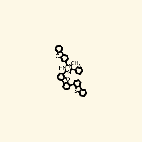 CN1C(c2ccccc2)=NC(c2cccc3c2oc2c(-c4cccc5c4sc4ccccc45)cccc23)NC1c1ccc2c(c1)oc1ccccc12